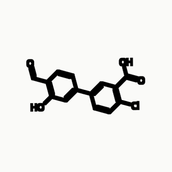 O=Cc1ccc(-c2ccc(Cl)c(C(=O)O)c2)cc1O